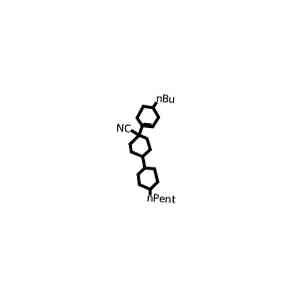 CCCCCC1CCC(C2CCC(C#N)(C3=CCC(CCCC)CC3)CC2)CC1